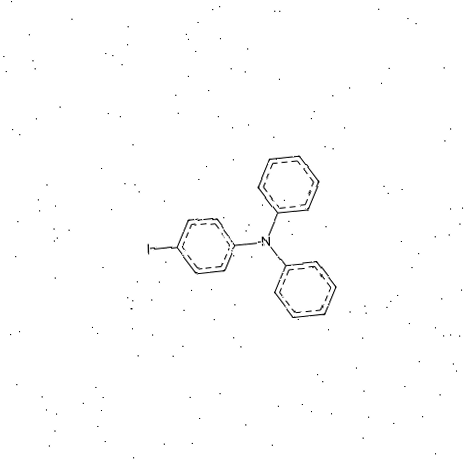 Ic1ccc(N(c2ccccc2)c2ccccc2)cc1